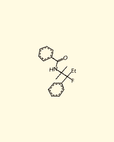 CCC(F)(c1ccccc1)C(C)(C)NC(=O)c1ccccc1